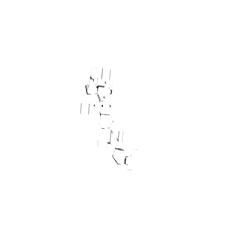 Cn1ccc2c(N[C@H]3CC[C@@H](NC(=O)c4ccc(F)c(Cl)c4)CC3)ncnc21